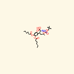 CCCCCC(=O)Oc1ccc(C(CC(C)OC(=O)OCC(C)(C)C)[C@H](N)C(=O)O)cc1OC(=O)CCCCC